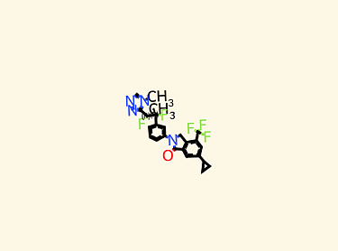 Cn1cnnc1[C@@H](F)[C@](C)(F)c1cccc(N2Cc3c(cc(C4CC4)cc3C(F)(F)F)C2=O)c1